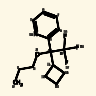 CCCOC(c1ccccn1)(C1CCC1)C(F)(F)F